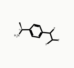 C[C@H](N)c1ccc(C(F)C(F)F)cc1